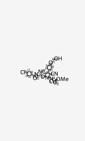 COC(=O)CN(C)c1nc(OCc2coc(-c3ccc(Cl)cc3)n2)c(C#N)c(-c2ccc(OCCO)cc2)c1C#N